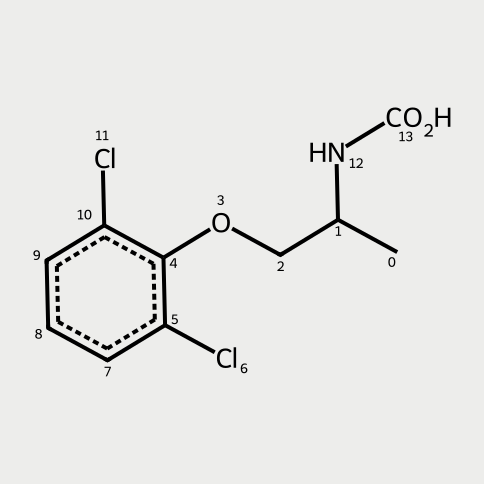 CC(COc1c(Cl)cccc1Cl)NC(=O)O